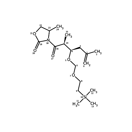 C=C(C)C[C@@H](OCOCC[Si](C)(C)C)[C@H](C)C(=O)N1C(=O)OCC1C